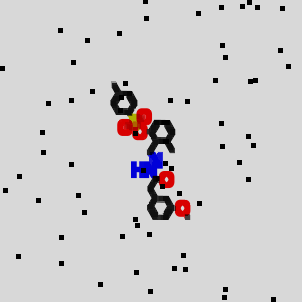 COc1cccc(CC(=O)NN=Cc2c(C)cccc2OS(=O)(=O)c2ccc(C)cc2)c1